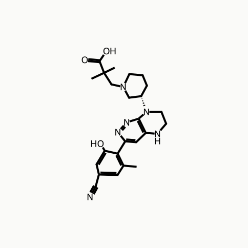 Cc1cc(C#N)cc(O)c1-c1cc2c(nn1)N([C@H]1CCCN(CC(C)(C)C(=O)O)C1)CCN2